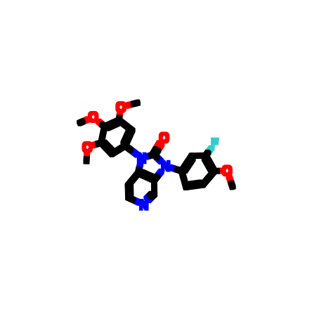 COc1ccc(-n2c(=O)n(-c3cc(OC)c(OC)c(OC)c3)c3ccncc32)cc1F